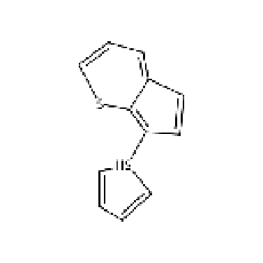 C1=C[SH](c2ccc3cccsc2-3)C=C1